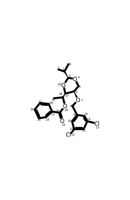 CC(C)[C@H]1OC[C@@H](OCc2cc(Cl)cc(Cl)c2)[C@@H](C(C)OC(=O)c2ccccc2)O1